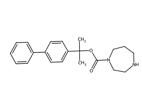 CC(C)(OC(=O)N1CCCNCC1)c1ccc(-c2ccccc2)cc1